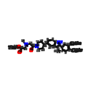 COc1ccc(-c2[nH]c3ccc(C4CCN(C(=O)CN(C)CC(=O)OC(C)(C)C)CC4)cc3c2C(C)C)cc1OC